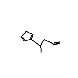 C=CCC(C)C1=CC[C]=C1